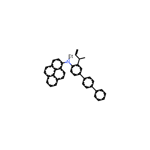 C=CC(C)c1cc(-c2ccc(-c3ccccc3)cc2)ccc1N(CC)c1ccc2ccc3cccc4ccc1c2c34